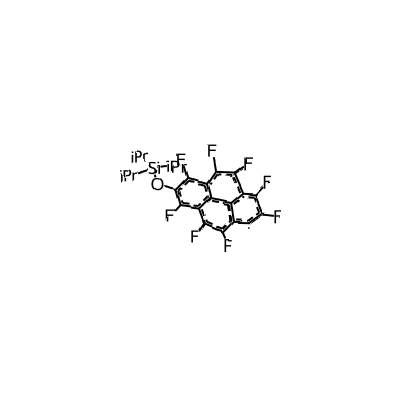 CC(C)[Si](Oc1c(F)c2c(F)c(F)c3[c]c(F)c(F)c4c(F)c(F)c(c1F)c2c34)(C(C)C)C(C)C